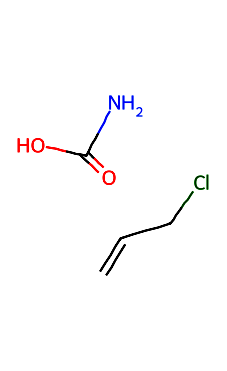 C=CCCl.NC(=O)O